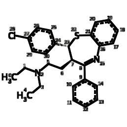 CCN(CC)CC[C@@H]1C(c2ccccc2)=Nc2ccccc2S[C@H]1c1ccc(Cl)cc1